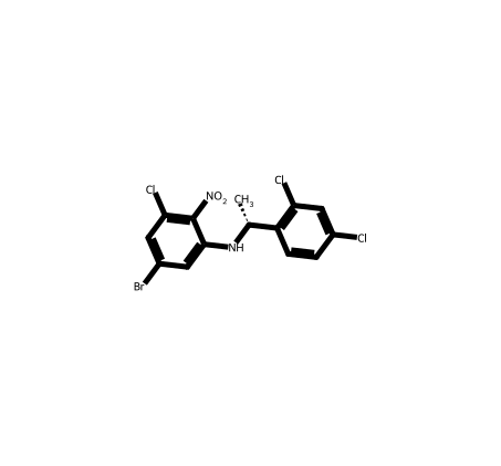 C[C@@H](Nc1cc(Br)cc(Cl)c1[N+](=O)[O-])c1ccc(Cl)cc1Cl